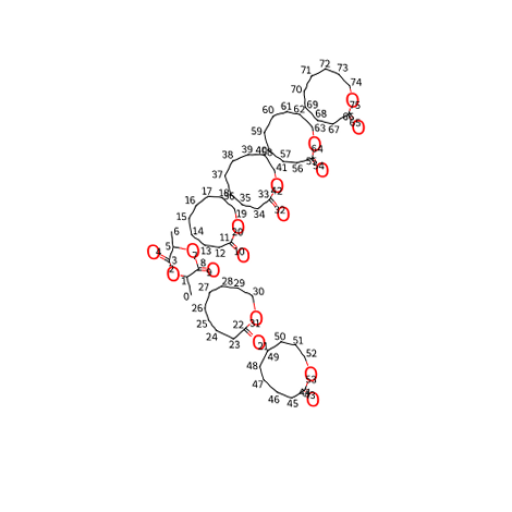 CC1OC(=O)C(C)OC1=O.O=C1CCCCCCCCO1.O=C1CCCCCCCCO1.O=C1CCCCCCCCO1.O=C1CCCCCCCCO1.O=C1CCCCCCCCO1.O=C1CCCCCCCCO1